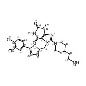 Cn1c(=O)c2c(nc(N3CCC(CCO)CC3)n2Cc2nnc(-c3ccc(Cl)c(Cl)c3)o2)n(C)c1=O